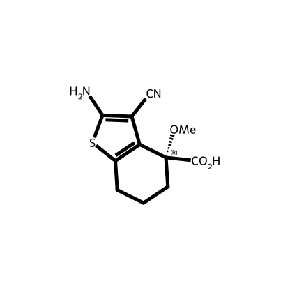 CO[C@]1(C(=O)O)CCCc2sc(N)c(C#N)c21